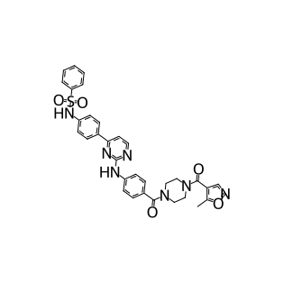 Cc1oncc1C(=O)N1CCN(C(=O)c2ccc(Nc3nccc(-c4ccc(NS(=O)(=O)c5ccccc5)cc4)n3)cc2)CC1